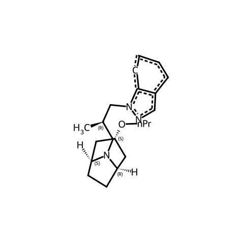 CCCO[C@@H]1C[C@H]2CC[C@@H](C1)N2C[C@@H](C)Cn1ncc2ccccc21